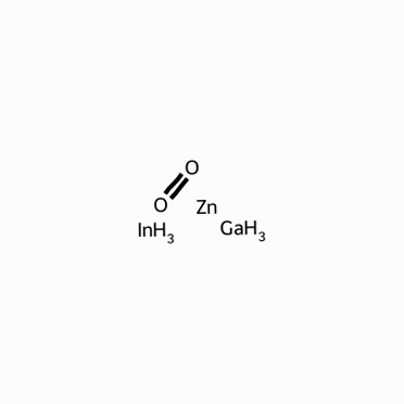 O=O.[GaH3].[InH3].[Zn]